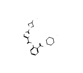 COC1CN(c2nc(C(=O)Nc3ccccc3C(=O)N[C@H]3CC[C@@H](O)CC3)cs2)C1